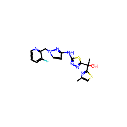 Cc1csc(C(C)(O)c2nnc(Nc3ccn(Cc4ncccc4F)n3)s2)n1